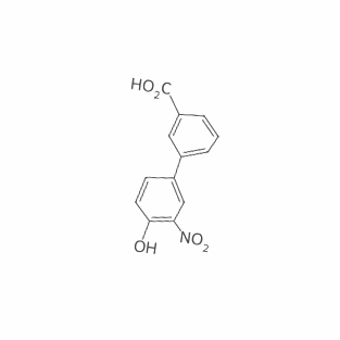 O=C(O)c1cccc(-c2ccc(O)c([N+](=O)[O-])c2)c1